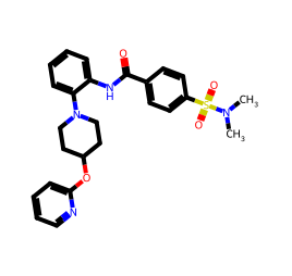 CN(C)S(=O)(=O)c1ccc(C(=O)Nc2ccccc2N2CCC(Oc3ccccn3)CC2)cc1